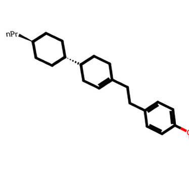 CCC[C@H]1CC[C@H](C2CC=C(CCc3ccc(OCC)cc3)CC2)CC1